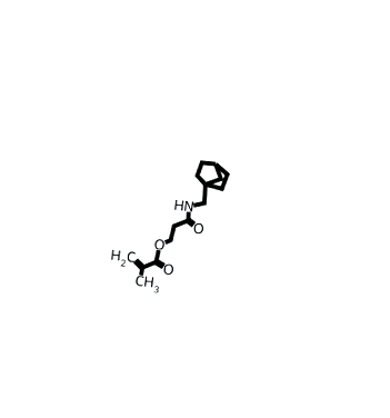 C=C(C)C(=O)OCCC(=O)NCC12CCC(CC1)C2